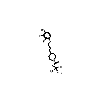 CC(C)(C)OC(=O)N1CCC(CCCOc2ccc(Br)c(F)c2F)CC1